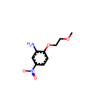 COCCOc1ccc([N+](=O)[O-])cc1N